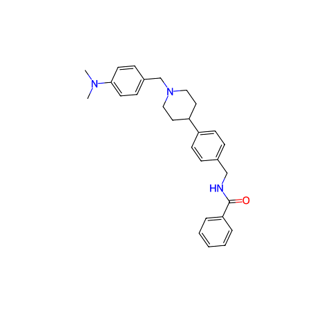 CN(C)c1ccc(CN2CCC(c3ccc(CNC(=O)c4ccccc4)cc3)CC2)cc1